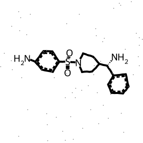 Nc1ccc(S(=O)(=O)N2CCC([C@H](N)c3ccccc3)CC2)cc1